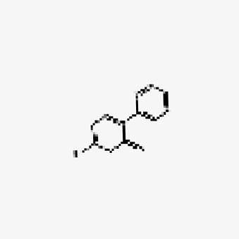 S=C1CC(Br)=CC=C1c1c[c]ccn1